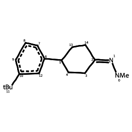 CNN=C1CC[C](c2cccc(C(C)(C)C)c2)CC1